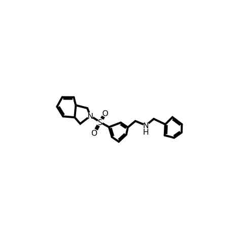 O=S(=O)(c1cccc(CNCc2ccccc2)c1)N1CC2C=CC=CC2C1